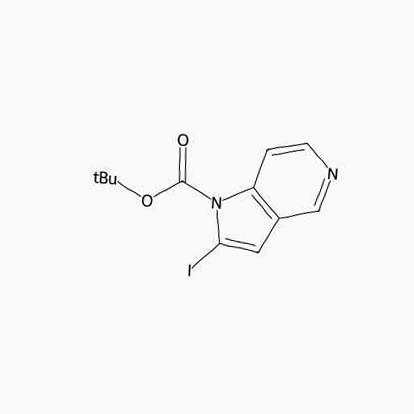 CC(C)(C)OC(=O)n1c(I)cc2cnccc21